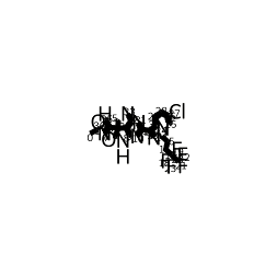 Cc1nc(C2(C)C(=O)Nc3nc(-c4nc(CCC(F)(F)C(F)(F)F)n5cc(Cl)ccc45)nc(N)c32)co1